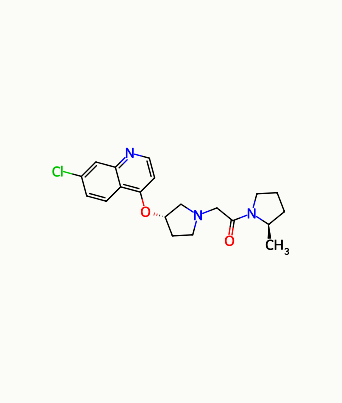 C[C@@H]1CCCN1C(=O)CN1CC[C@H](Oc2ccnc3cc(Cl)ccc23)C1